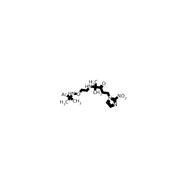 CC(=O)C(C)(C)NOCCNC(C)(C)C(=O)CCn1ccnc1[N+](=O)[O-]